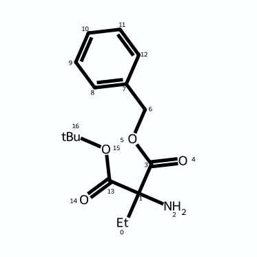 CCC(N)(C(=O)OCc1ccccc1)C(=O)OC(C)(C)C